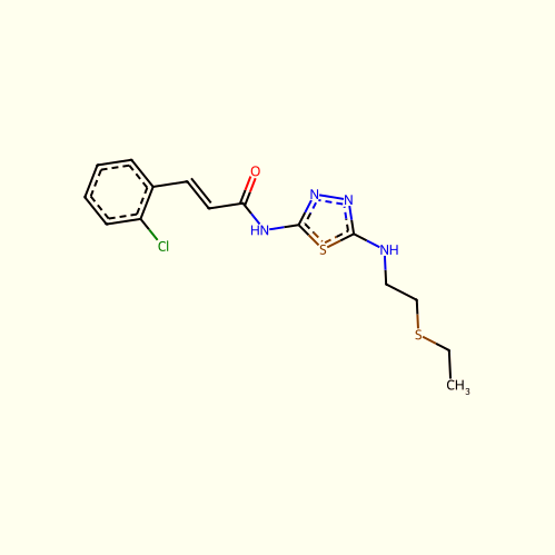 CCSCCNc1nnc(NC(=O)/C=C/c2ccccc2Cl)s1